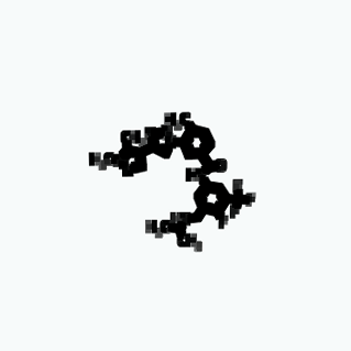 Cc1ccc(C(=O)Nc2cc(CNC(C)C)c(F)c(C(F)(F)F)c2)cc1-n1cc(-c2cnn(C)c2C)nn1